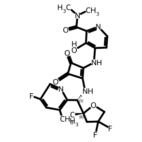 Cc1cc(F)cnc1[C@H](Nc1c(Nc2ccnc(C(=O)N(C)C)c2O)c(=O)c1=O)[C@@]1(C)CC(F)(F)CO1